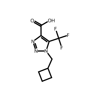 O=C(O)c1nnn(CC2CCC2)c1C(F)(F)F